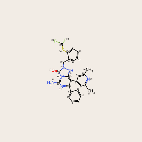 Cc1cc(-c2c(-c3ccccc3)nc(N)[n+]3c(=O)n(Cc4ccccc4SC(F)F)[nH]c23)cc(C)n1